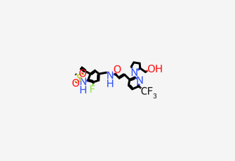 C#Cc1cc(CNC(=O)C=Cc2ccc(C(F)(F)F)nc2N2CCCC2CO)cc(F)c1NS(C)(=O)=O